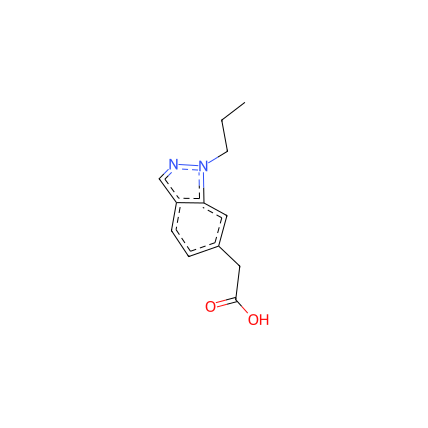 CCCn1ncc2ccc(CC(=O)O)cc21